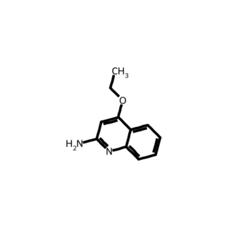 CCOc1cc(N)nc2ccccc12